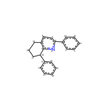 c1ccc(-c2ccc3c(n2)C(c2ccccc2)CCC3)cc1